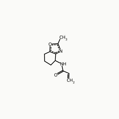 C=CC(=O)NC1CCCc2oc(C)nc21